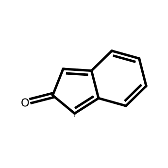 O=C1[C]=c2ccccc2=C1